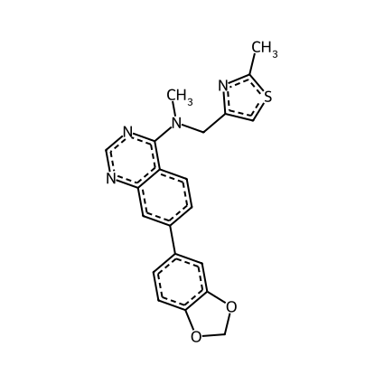 Cc1nc(CN(C)c2ncnc3cc(-c4ccc5c(c4)OCO5)ccc23)cs1